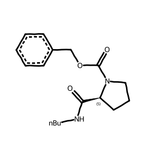 CCCCNC(=O)[C@@H]1CCCN1C(=O)OCc1ccccc1